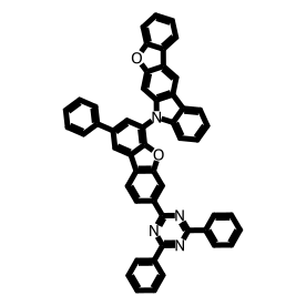 c1ccc(-c2cc(-n3c4ccccc4c4cc5c(cc43)oc3ccccc35)c3oc4cc(-c5nc(-c6ccccc6)nc(-c6ccccc6)n5)ccc4c3c2)cc1